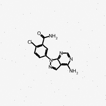 NC(=O)c1cc(-n2ncc3c(N)ncnc32)ccc1Cl